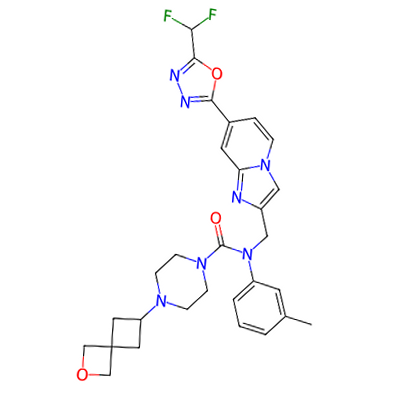 Cc1cccc(N(Cc2cn3ccc(-c4nnc(C(F)F)o4)cc3n2)C(=O)N2CCN(C3CC4(COC4)C3)CC2)c1